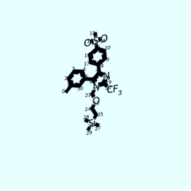 Cc1cccc(-c2c(-c3ccc(S(C)(=O)=O)cc3)nc(C(F)(F)F)n2COCC[Si](C)(C)C)c1